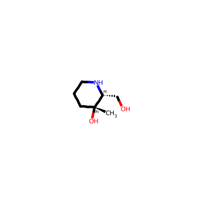 C[C@@]1(O)CCCN[C@@H]1CO